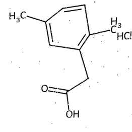 Cc1ccc(C)c(CC(=O)O)c1.Cl